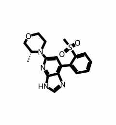 C[C@@H]1COCCN1c1cc(-c2ccccc2S(C)(=O)=O)c2nc[nH]c2n1